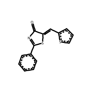 O=C1N=C(c2ccccc2)SC1=Cc1cccs1